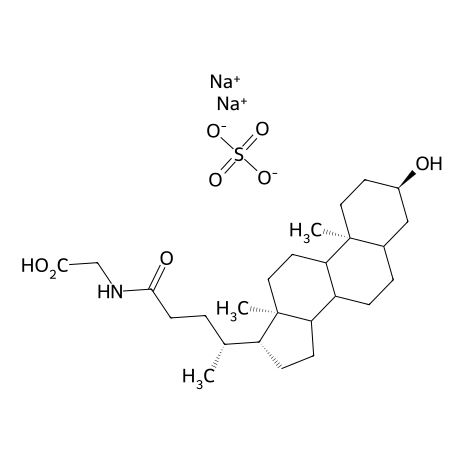 C[C@H](CCC(=O)NCC(=O)O)[C@H]1CCC2C3CCC4C[C@H](O)CC[C@]4(C)C3CC[C@@]21C.O=S(=O)([O-])[O-].[Na+].[Na+]